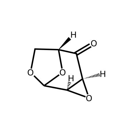 O=C1[C@H]2O[C@H]2C2OC[C@H]1O2